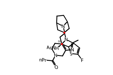 CCCC(=O)N1CCc2c(nc(C)n2C2CC3CCC(C2)N3CC[C@H](NC(C)=O)C2CC=C(F)S2)C1